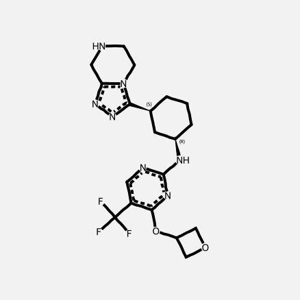 FC(F)(F)c1cnc(N[C@@H]2CCC[C@H](c3nnc4n3CCNC4)C2)nc1OC1COC1